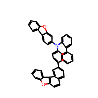 c1ccc(-c2ccccc2N(c2ccc(-c3ccc4ccc5oc6ccccc6c5c4c3)cc2)c2ccc3c(c2)oc2ccccc23)cc1